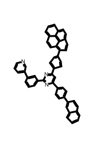 c1cncc(-c2cccc(-c3nc(-c4ccc(-c5ccc6ccccc6c5)cc4)cc(-c4ccc(-c5ccc6ccc7cccc8ccc5c6c78)cc4)n3)c2)c1